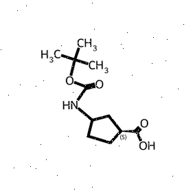 CC(C)(C)OC(=O)NC1CC[C@H](C(=O)O)C1